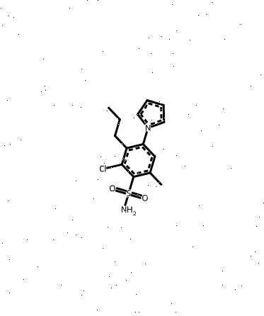 CCCc1c(-n2cccc2)cc(C)c(S(N)(=O)=O)c1Cl